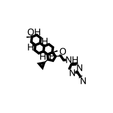 C[C@@]1(O)CCC2[C@H](CC[C@H]3[C@@H]4[C@H](C5CC5)C[C@H](C(=O)CNc5cnc(C#N)nc5)[C@@]4(C)CC[C@H]23)C1